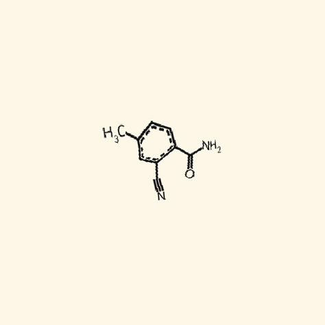 Cc1ccc(C(N)=O)c(C#N)c1